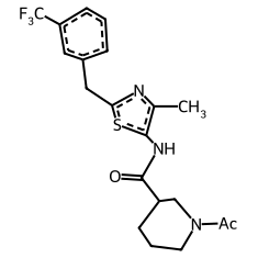 CC(=O)N1CCCC(C(=O)Nc2sc(Cc3cccc(C(F)(F)F)c3)nc2C)C1